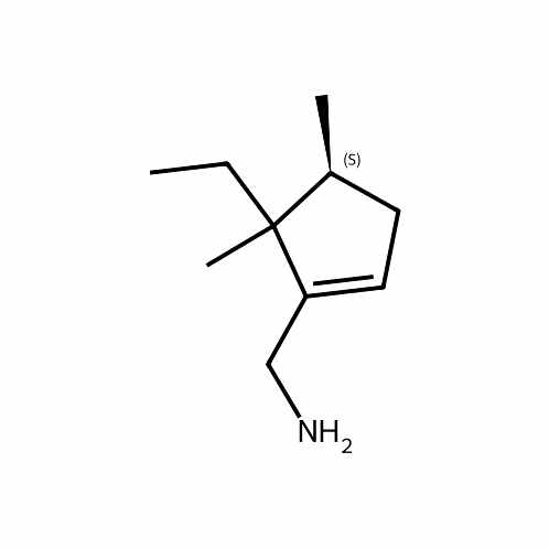 CCC1(C)C(CN)=CC[C@@H]1C